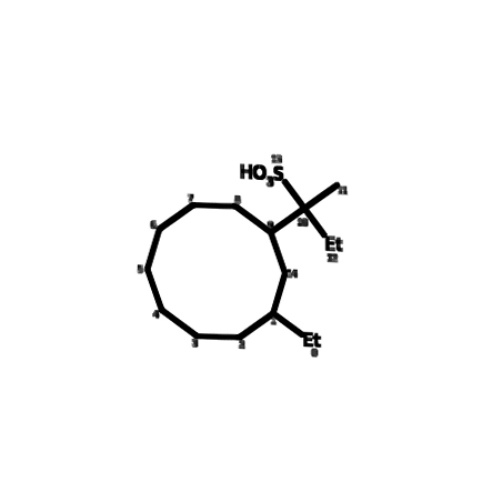 CCC1CCCCCCCC(C(C)(CC)S(=O)(=O)O)C1